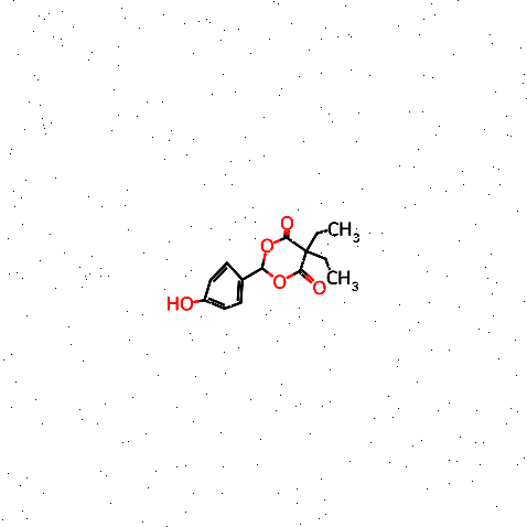 CCC1(CC)C(=O)OC(c2ccc(O)cc2)OC1=O